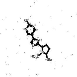 CC(C)(C)C1CCC(c2ncc(-c3cnc(Cl)nc3)[nH]2)N1C(=O)O